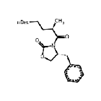 CCCCCCCCCCCC[C@@H](C)C(=O)N1C(=O)OC[C@H]1Cc1ccccc1